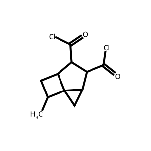 CC1CC2C(C(=O)Cl)C(C(=O)Cl)C3CC123